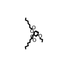 CCCCCCC(=O)Oc1ccc(OCCC)cc1OC(=O)CCCCCC